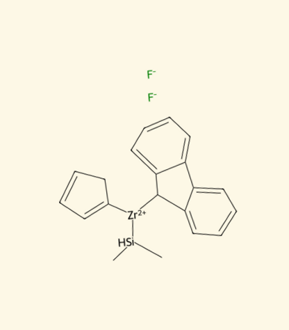 C[SiH](C)[Zr+2]([C]1=CC=CC1)[CH]1c2ccccc2-c2ccccc21.[F-].[F-]